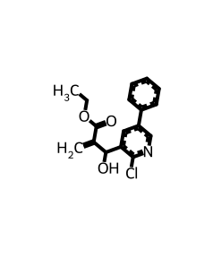 C=C(C(=O)OCC)C(O)c1cc(-c2ccccc2)cnc1Cl